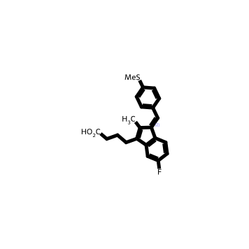 CSc1ccc(/C=C2\C(C)=C(CCCC(=O)O)c3cc(F)ccc32)cc1